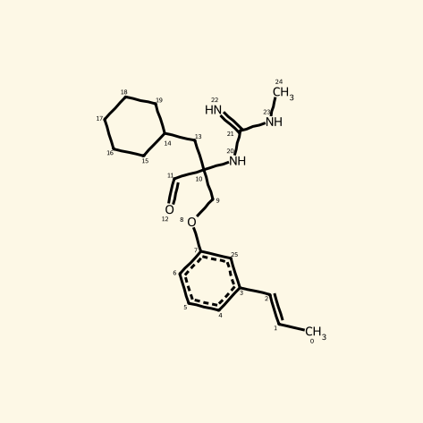 CC=Cc1cccc(OCC(C=O)(CC2CCCCC2)NC(=N)NC)c1